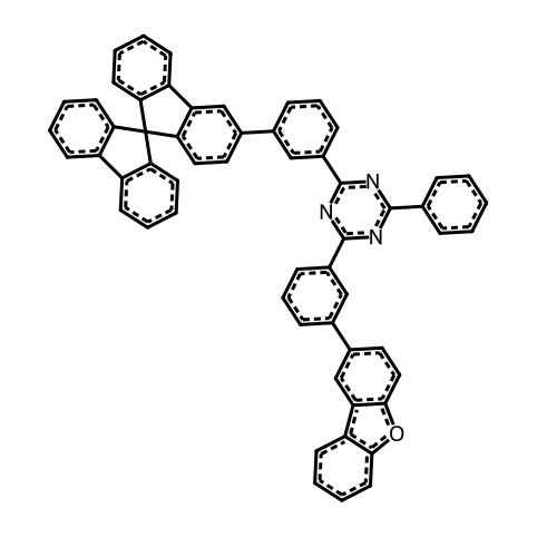 c1ccc(-c2nc(-c3cccc(-c4ccc5c(c4)-c4ccccc4C54c5ccccc5-c5ccccc54)c3)nc(-c3cccc(-c4ccc5oc6ccccc6c5c4)c3)n2)cc1